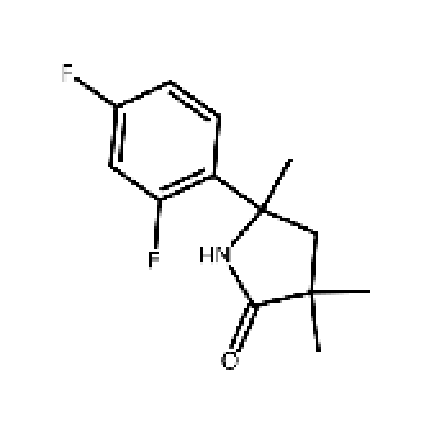 CC1(C)CC(C)(c2ccc(F)cc2F)NC1=O